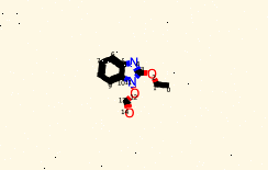 CCOc1nc2ccccc2n1OC=O